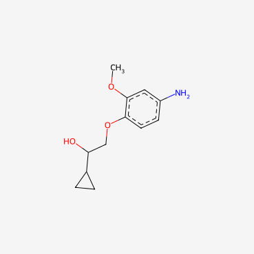 COc1cc(N)ccc1OCC(O)C1CC1